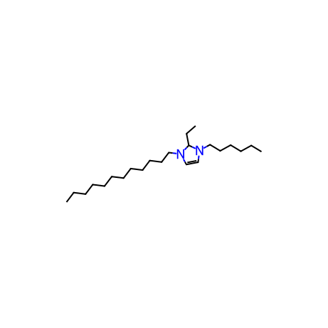 CCCCCCCCCCCCN1C=CN(CCCCCC)C1CC